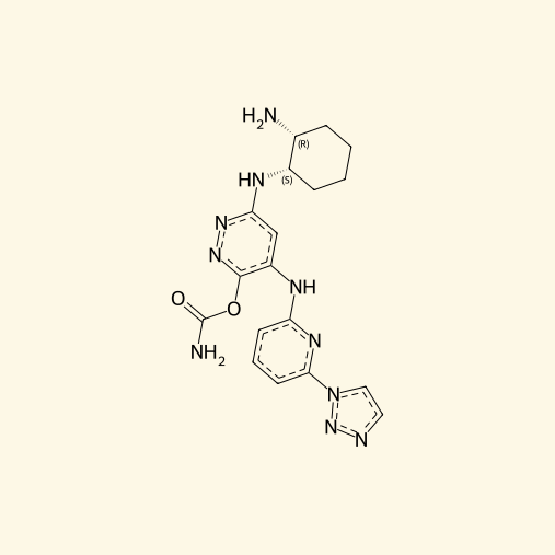 NC(=O)Oc1nnc(N[C@H]2CCCC[C@H]2N)cc1Nc1cccc(-n2ccnn2)n1